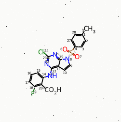 Cc1ccc(S(=O)(=O)n2ccc3c(Nc4cccc(F)c4C(=O)O)nc(Cl)nc32)cc1